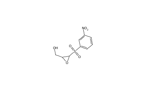 O=[N+]([O-])c1cccc(S(=O)(=O)C2OC2CO)c1